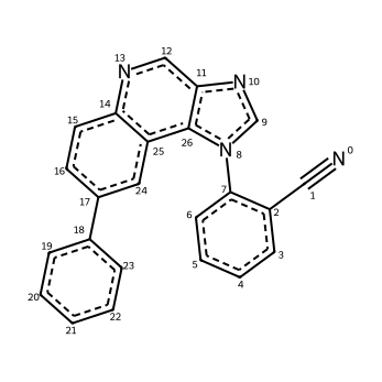 N#Cc1ccccc1-n1cnc2cnc3ccc(-c4ccccc4)cc3c21